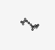 C1=C(C2=NC(c3ccccc3)NC(c3ccc4c(c3)oc3ccccc34)=C2)CCC(c2ccc(-c3ccc4c(c3)C3=CC5=C(CC3C43CCCCC3)c3ccccc3C53CCCCC3)cc2)=C1